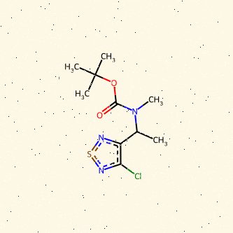 CC(c1nsnc1Cl)N(C)C(=O)OC(C)(C)C